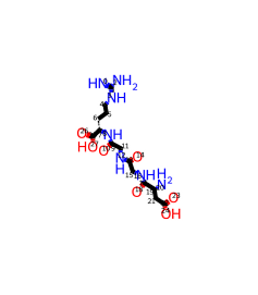 N=C(N)NCCC[C@H](NC(=O)CNC(=O)CNC(=O)[C@@H](N)CC(=O)O)C(=O)O